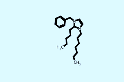 CCCCCCCN1C=CN(Cc2ccccc2)C1CCCCC